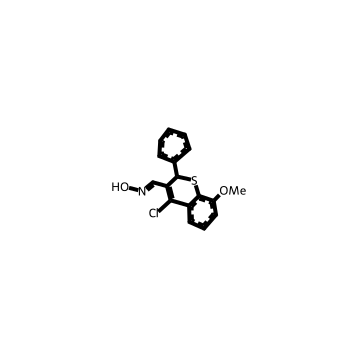 COc1cccc2c1SC(c1ccccc1)C(C=NO)=C2Cl